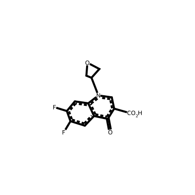 O=C(O)c1cn(C2COC2)c2cc(F)c(F)cc2c1=O